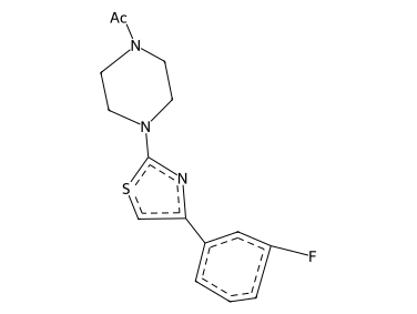 CC(=O)N1CCN(c2nc(-c3cccc(F)c3)cs2)CC1